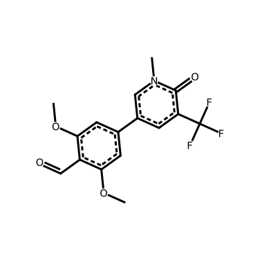 COc1cc(-c2cc(C(F)(F)F)c(=O)n(C)c2)cc(OC)c1C=O